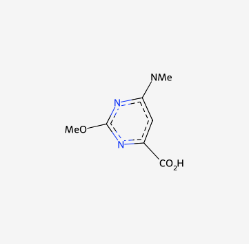 CNc1cc(C(=O)O)nc(OC)n1